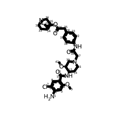 COc1cc(N)c(Cl)cc1C(=O)N[C@@H]1CCN(CC(=O)Nc2ccc(CC(=O)OC3CN4CCC3CC4)cc2)C[C@@H]1OC